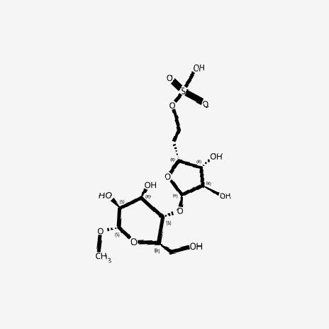 CO[C@H]1O[C@H](CO)[C@@H](O[C@H]2O[C@H](CCOS(=O)(=O)O)[C@H](O)[C@H]2O)[C@H](O)[C@@H]1O